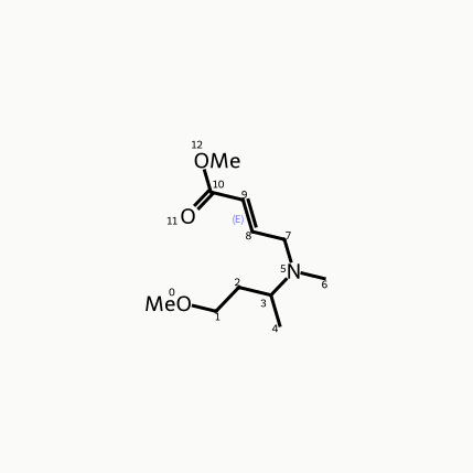 COCCC(C)N(C)C/C=C/C(=O)OC